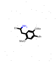 CCCc1cc(OC)c(CC(N)CC)cc1OC